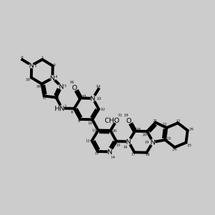 CN1CCn2nc(Nc3cc(-c4ccnc(N5CCn6c(cc7c6CCCC7)C5=O)c4C=O)cn(C)c3=O)cc2C1